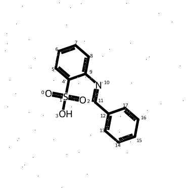 O=S(=O)(O)c1ccccc1N=Cc1ccccc1